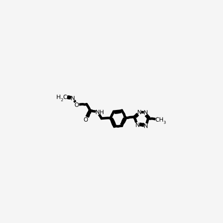 C=NOCC(=O)NCc1ccc(-c2nnc(C)nn2)cc1